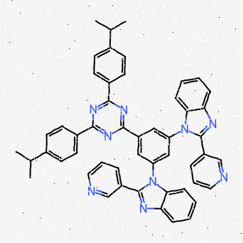 CC(C)c1ccc(-c2nc(-c3ccc(C(C)C)cc3)nc(-c3cc(-n4c(-c5cccnc5)nc5ccccc54)cc(-n4c(-c5cccnc5)nc5ccccc54)c3)n2)cc1